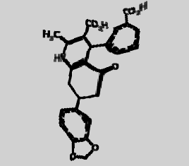 CC1=C(C(=O)O)C(c2cccc(C(=O)O)c2)C2=C(CC(c3ccc4c(c3)OCO4)CC2=O)N1